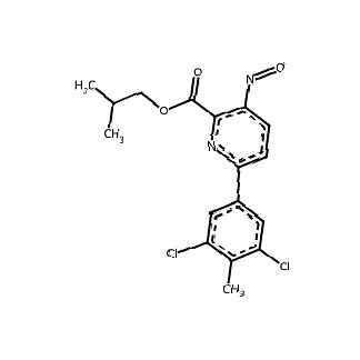 Cc1c(Cl)cc(-c2ccc(N=O)c(C(=O)OCC(C)C)n2)cc1Cl